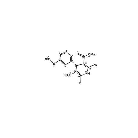 CCCOc1cccc(C2C(C(=O)O)=C(C)NC(C)=C2C(=O)OC)c1